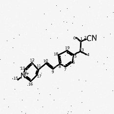 CC(C#N)C(C)c1ccc(C=Cc2cc[n+](C)cc2)cc1